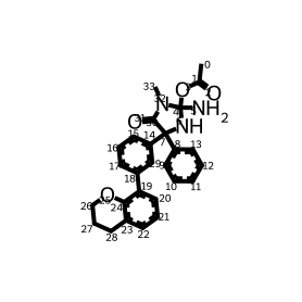 CC(=O)OC1(N)NC(c2ccccc2)(c2cccc(-c3cccc4c3OCCC4)c2)C(=O)N1C